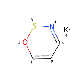 C1=COSN=C1.[K]